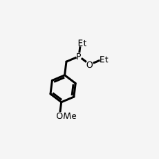 CCOP(CC)Cc1ccc(OC)cc1